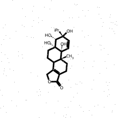 CC(C)[C@@]1(O)C=C[C@]2(O)[C@@](O)(CCC3C4=C(CC[C@]32C)C(=O)OC4)[C@@H]1O